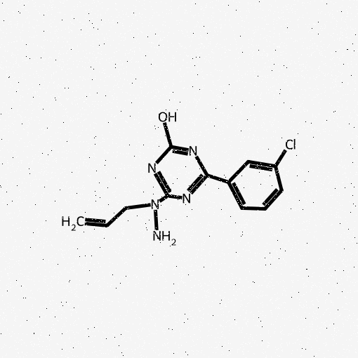 C=CCN(N)c1nc(O)nc(-c2cccc(Cl)c2)n1